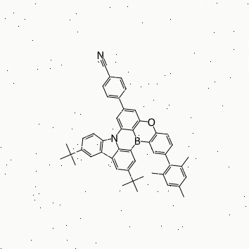 Cc1cc(C)c(-c2ccc3c(c2)B2c4c(cc(-c5ccc(C#N)cc5)cc4-n4c5ccc(C(C)(C)C)cc5c5cc(C(C)(C)C)cc2c54)O3)c(C)c1